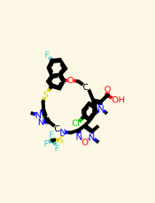 CC1=C2C(=NON1C)CN(SC(F)(F)F)Cc1cc(n(C)n1)CSc1cc(c3ccc(F)cc3c1)OCCCc1c(C(=O)O)n(C)c3c2c(Cl)ccc13